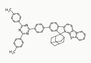 Cc1ccc(-c2nc(-c3ccc(C)cc3)nc(-c3ccc(-c4ccc5c(c4)C4(c6c-5ccc5c6sc6ccccc65)C5CC6CC(C5)CC4C6)cc3)n2)cc1